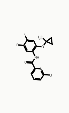 CC1(Oc2cc(F)c(F)cc2NC(=O)c2cccc(Cl)n2)CC1